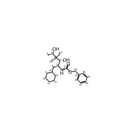 C[C@@H](O)C(F)(F)[C@H](O)[C@H](CC1CCCCC1)NC(=O)OCc1ccccc1